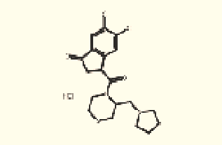 Cl.O=C1CC(C(=O)N2CCSCC2CN2CCCC2)c2cc(Cl)c(Cl)cc21